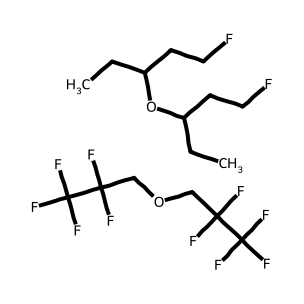 CCC(CCF)OC(CC)CCF.FC(F)(F)C(F)(F)COCC(F)(F)C(F)(F)F